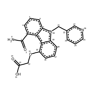 NC(=O)c1cccc2c1c1c(OCC(=O)O)cccc1n2Cc1cccnc1